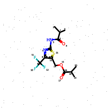 CC(C)C(=O)Nc1nc(C(F)(F)F)c(COC(=O)C(C)C)s1